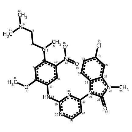 COc1cc(N(C)CCN(C)C)c([N+](=O)[O-])cc1Nc1nccc(-n2c(=O)n(C)c3cc(Cl)ccc32)n1